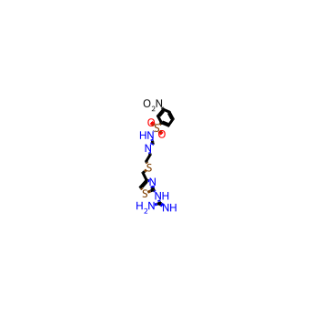 N=C(N)Nc1nc(CSCCN=CNS(=O)(=O)c2cccc([N+](=O)[O-])c2)cs1